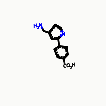 NCc1ccnc(-c2ccc(C(=O)O)cc2)c1